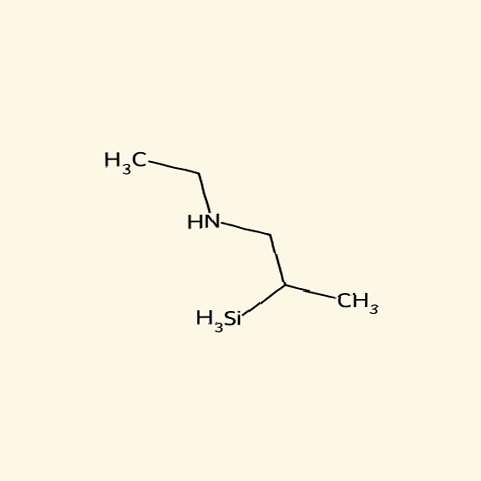 CCNCC(C)[SiH3]